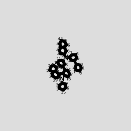 c1ccc(-c2cccc(N(c3cccc(-c4cccc5c4c4c6ccccc6ccc4n5-c4ccccc4)c3)c3ccc4ccccc4c3)c2)cc1